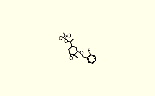 CC(OS(C)(=O)=O)C1CC(OCc2ccccc2F)C2(C)OC2C1